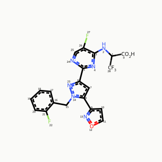 O=C(O)C(Nc1nc(-c2cc(-c3ccon3)n(Cc3ccccc3F)n2)ncc1F)C(F)(F)F